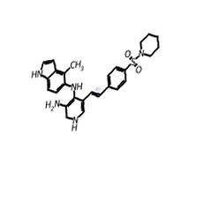 Cc1c(NC2=C(N)CNC=C2/C=C/c2ccc(S(=O)(=O)N3CCCCC3)cc2)ccc2[nH]ccc12